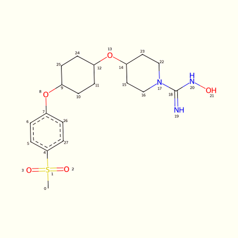 CS(=O)(=O)c1ccc(OC2CCC(OC3CCN(C(=N)NO)CC3)CC2)cc1